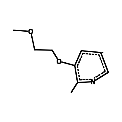 COCCOc1c[c]cnc1C